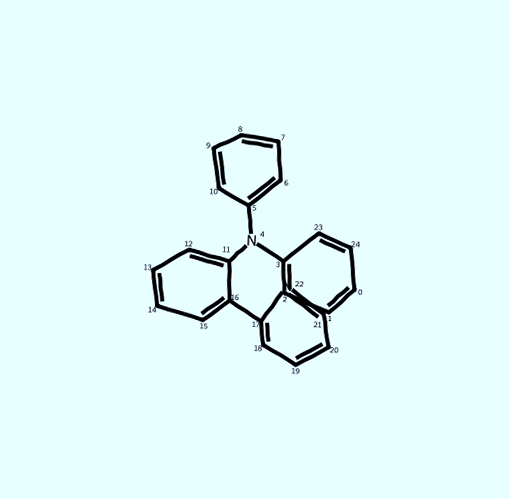 c1ccc(N(c2ccccc2)c2ccccc2-c2ccccn2)cc1